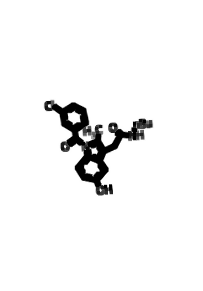 CCCCNC(=O)Cc1c(C)n(C(=O)c2cccc(Cl)c2)c2ccc(O)cc12